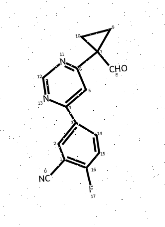 N#Cc1cc(-c2cc(C3(C=O)CC3)ncn2)ccc1F